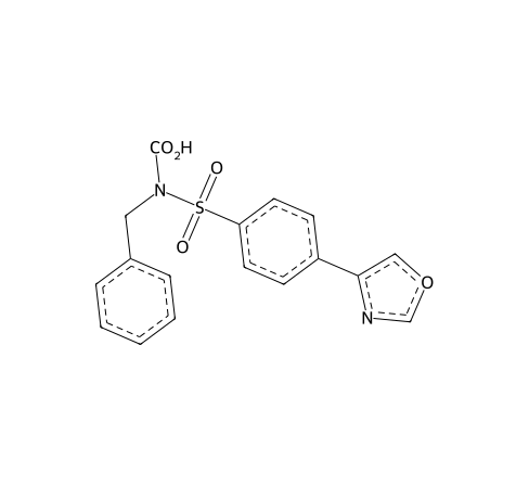 O=C(O)N(Cc1ccccc1)S(=O)(=O)c1ccc(-c2cocn2)cc1